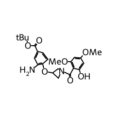 COc1cc(O)c(C(=O)N2CC(Oc3ccc(C(=O)OC(C)(C)C)cc3N)C2)c(OC)c1